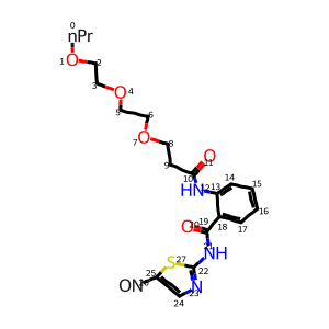 CCCOCCOCCOCCC(=O)Nc1ccccc1C(=O)Nc1ncc(N=O)s1